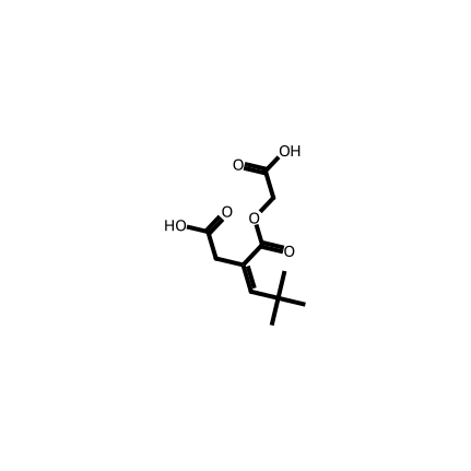 CC(C)(C)C=C(CC(=O)O)C(=O)OCC(=O)O